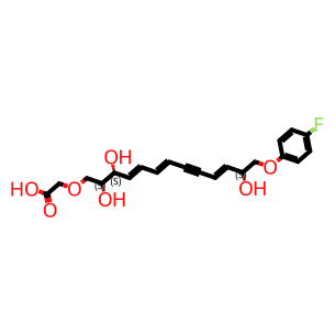 O=C(O)COC[C@H](O)[C@@H](O)C=CC=CC#CC=C[C@H](O)COc1ccc(F)cc1